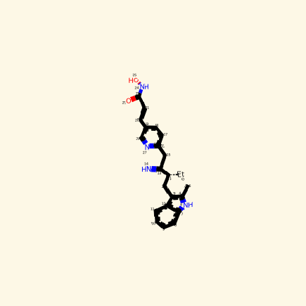 CC[C@H](Cc1c(C)[nH]c2ccccc12)C(=N)Cc1ccc(/C=C/C(=O)NO)cn1